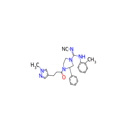 Cc1ccccc1N/C(=N/C#N)N1CCN(C(=O)CCc2cnn(C)c2)C(c2ccccc2)C1